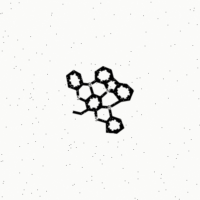 CCc1c2c3c4c5c1Sc1ccccc1B5c1cccc5c6cccc(c6n-4c15)B3c1ccccc1S2